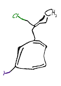 C=C(Cl)c1cccc(I)c1